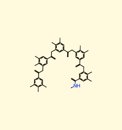 C=C(Cc1cc(C(=C)Cc2cc(C(=C)Cc3cc(C(=C)Cc4cc(C(=C)NC)cc(C)c4C)cc(C)c3C)cc(C)c2C)cc(C)c1C)c1cc(C)c(C)c(C)c1